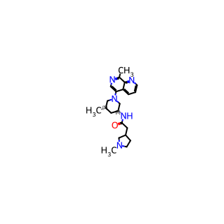 Cc1ncc(N2C[C@@H](C)C[C@@H](NC(=O)CC3CCN(C)C3)C2)c2cccnc12